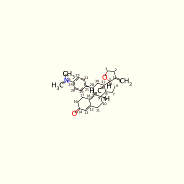 C=C1CCO[C@@]12CC[C@H]1[C@@H]3CCC4=CC(=O)CCC4=C3[C@@H](c3ccc(N(C)C)cc3)C[C@@]12C